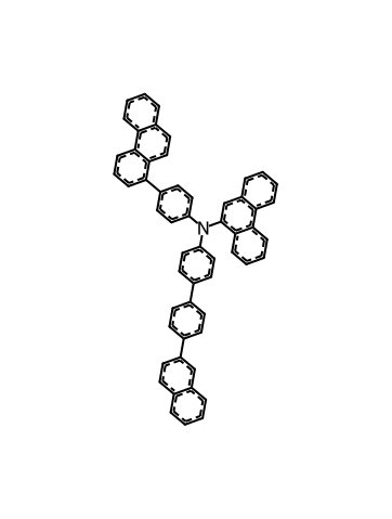 c1ccc2cc(-c3ccc(-c4ccc(N(c5ccc(-c6cccc7c6ccc6ccccc67)cc5)c5cc6ccccc6c6ccccc56)cc4)cc3)ccc2c1